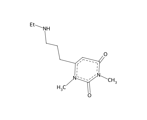 CCNCCCc1cc(=O)n(C)c(=O)n1C